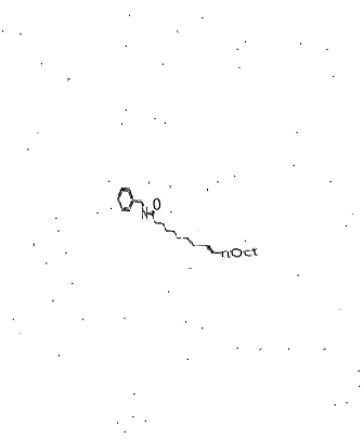 CCCCCCCCC=CCCCCCCCC(=O)N=Cc1ccccc1